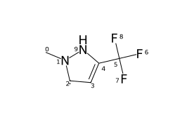 CN1[CH]C=C(C(F)(F)F)N1